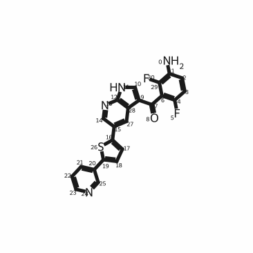 Nc1ccc(F)c(C(=O)c2c[nH]c3ncc(-c4ccc(-c5cccnc5)s4)cc23)c1F